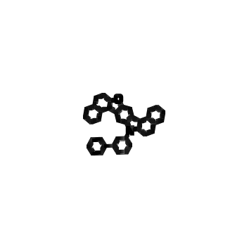 c1ccc(-c2cccc(-n3c4cc5c(cc4c4c6ccccc6ccc43)oc3ccc4ccccc4c35)c2)cc1